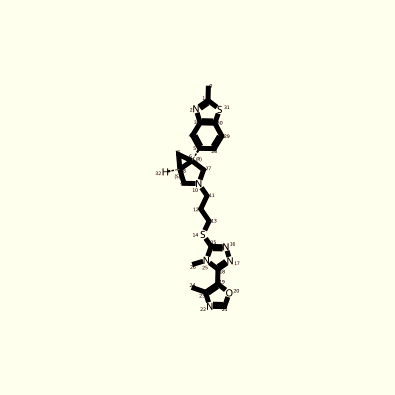 Cc1nc2cc([C@@]34C[C@@H]3CN(CCCSc3nnc(-c5ocnc5C)n3C)C4)ccc2s1